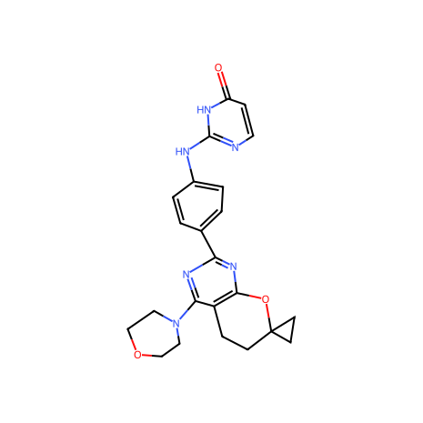 O=c1ccnc(Nc2ccc(-c3nc4c(c(N5CCOCC5)n3)CCC3(CC3)O4)cc2)[nH]1